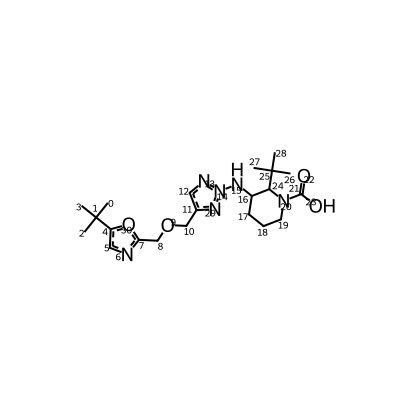 CC(C)(C)c1cnc(COCc2cnn(NC3CCCN(C(=O)O)C3C(C)(C)C)n2)o1